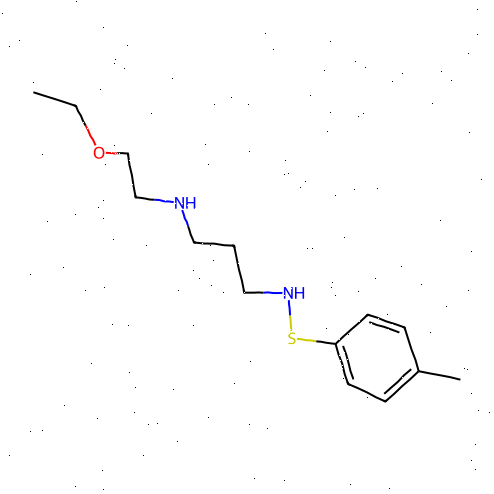 CCOCCNCCCNSc1ccc(C)cc1